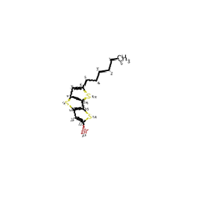 CCCCCCc1cc2sc3cc(Br)sc3c2s1